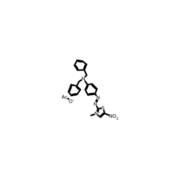 CC(=O)[O-].C[n+]1cc([N+](=O)[O-])sc1N=Nc1ccc(N(Cc2ccccc2)Cc2ccccc2)cc1